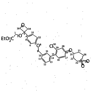 CCOC(=O)COC1(c2ccc(OCc3cccc(-c4ccc(OC5CCS(=O)(=O)CC5)cc4Cl)c3)cc2)COC1